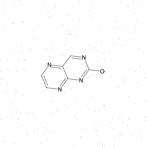 [O]c1ncc2nccnc2n1